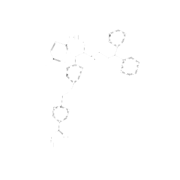 COC(=O)c1ccc(COc2ccc(CC(C)NCCC(c3ccccc3)c3ccccc3)cc2)cc1.O=C(O)/C=C\C(=O)O